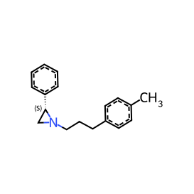 Cc1ccc(CCCN2C[C@@H]2c2ccccc2)cc1